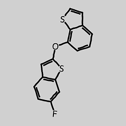 Fc1ccc2cc(Oc3cccc4ccsc34)sc2c1